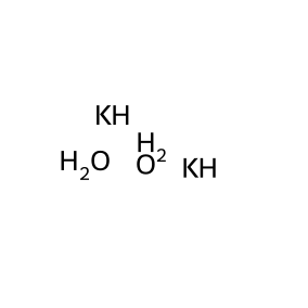 O.O.[KH].[KH]